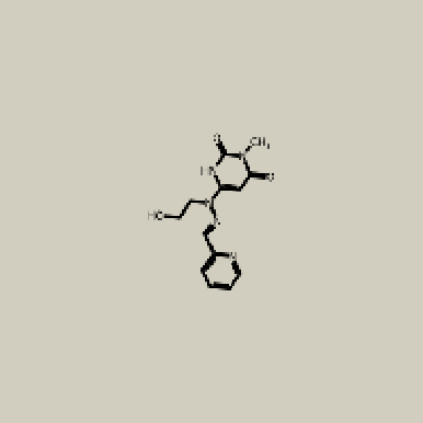 Cn1c(=O)cc(N(CCO)N=Cc2ccccn2)[nH]c1=O